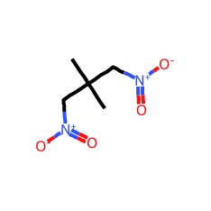 CC(C)(C[N+](=O)[O-])C[N+](=O)[O-]